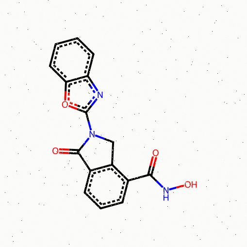 O=C(NO)c1cccc2c1CN(c1nc3ccccc3o1)C2=O